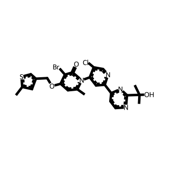 Cc1cc(COc2cc(C)n(-c3cc(-c4ccnc(C(C)(C)O)n4)ncc3Cl)c(=O)c2Br)cs1